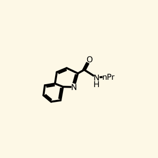 CCCNC(=O)c1ccc2ccccc2n1